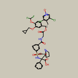 O=C(CNC(=O)c1cccc(S(=O)(=O)NC(C(=O)O)(c2ccccc2)[C@H]2CN3CCC2CC3)c1)O[C@@H](Cc1c(Cl)c[n+]([O-])cc1Cl)c1ccc(OC(F)F)c(OCC2CC2)c1